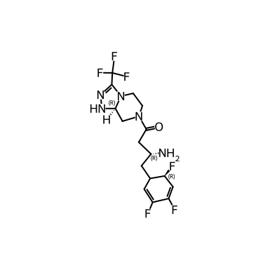 N[C@@H](CC(=O)N1CCN2C(C(F)(F)F)=NN[C@@H]2C1)CC1C=C(F)C(F)=C[C@@H]1F